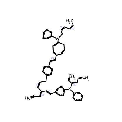 C#C/C=C(\C=C/Cc1ccc(/C=C/C2=CC=C(N(C/C=C\C=C/C)c3ccccc3)CC=C2)cc1)/C=C/c1ccc(N(/C(C=C)=C/C=C)c2ccccc2)cc1